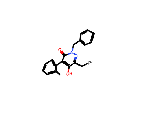 Cc1ccccc1-c1c(O)c(CC(C)C)nn(Cc2ccccc2)c1=O